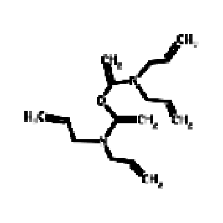 C=CCN(CC=C)C(=C)OC(=C)N(CC=C)CC=C